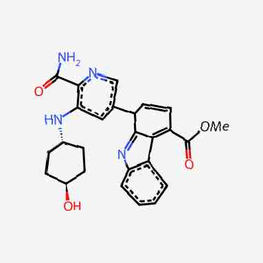 COC(=O)C1=C2C(=Nc3ccccc32)C(c2cnc(C(N)=O)c(N[C@H]3CC[C@H](O)CC3)c2)C=C1